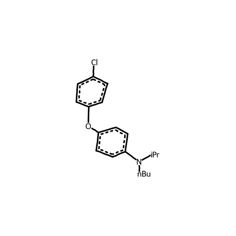 CCCCN(c1ccc(Oc2ccc(Cl)cc2)cc1)C(C)C